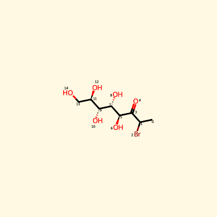 CC(Br)C(=O)[C@@H](O)[C@@H](O)[C@H](O)[C@H](O)CO